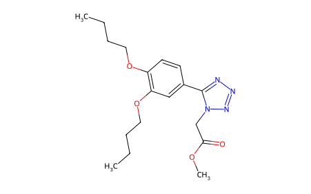 CCCCOc1ccc(-c2nnnn2CC(=O)OC)cc1OCCCC